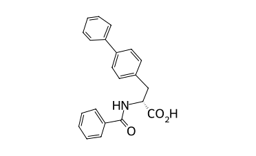 O=C(N[C@H](Cc1ccc(-c2ccccc2)cc1)C(=O)O)c1ccccc1